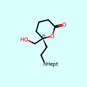 CCCCCCCCC[C@@]1(CO)CCCC(=O)O1